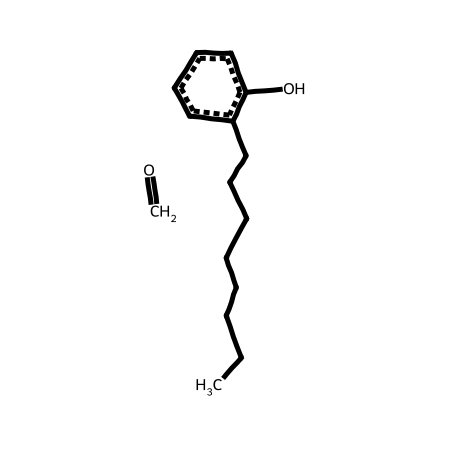 C=O.CCCCCCCCc1ccccc1O